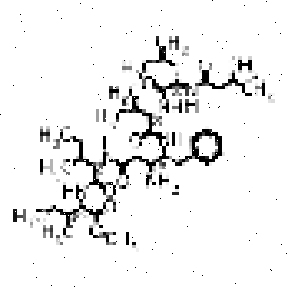 CCC(C)[C@H](NC(=O)CC(N)[C@H](Cc1ccccc1)NC(=O)[C@@H](NC(=O)[C@H](CC(C)C)NC(=O)CC(C)C)C(C)C)C(=O)N[C@H](C(=O)OC)[C@@H](C)CC